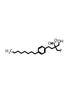 CCCCCCCCc1ccc(CCC(CO)(CF)[N+](=O)[O-])cc1